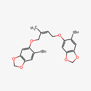 C/C(=C/COc1cc2c(cc1C(C)(C)C)OCO2)COc1cc2c(cc1C(C)(C)C)OCO2